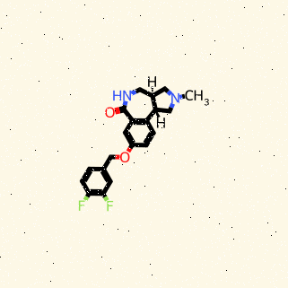 CN1C[C@@H]2CNC(=O)c3cc(OCc4ccc(F)c(F)c4)ccc3[C@H]2C1